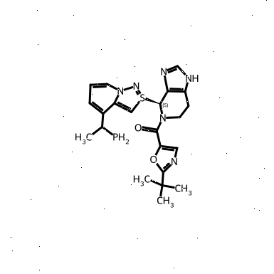 CC(P)C1=CC=CN2N=S([C@H]3c4nc[nH]c4CCN3C(=O)c3cnc(C(C)(C)C)o3)C=C12